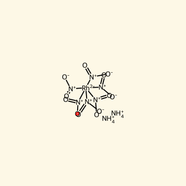 O=[N+]([O-])[Rh-2]([N+](=O)[O-])([N+](=O)[O-])([N+](=O)[O-])([N+](=O)[O-])[N+](=O)[O-].[NH4+].[NH4+]